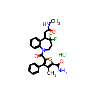 CNC(=O)C=C1c2ccccc2N(C(=O)c2sc(C(N)=O)c(C)c2-c2ccccc2)CCC1(F)F.Cl